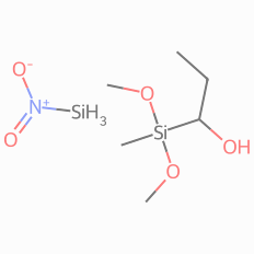 CCC(O)[Si](C)(OC)OC.O=[N+]([O-])[SiH3]